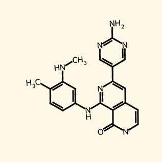 CNc1cc(Nc2nc(-c3cnc(N)nc3)cc3c2C(=O)[N]C=C3)ccc1C